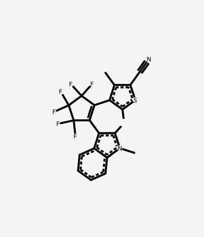 Cc1sc(C#N)c(C)c1C1=C(c2c(C)n(C)c3ccccc23)C(F)(F)C(F)(F)C1(F)F